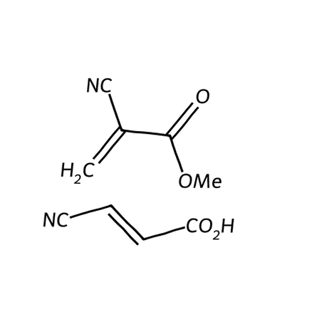 C=C(C#N)C(=O)OC.N#CC=CC(=O)O